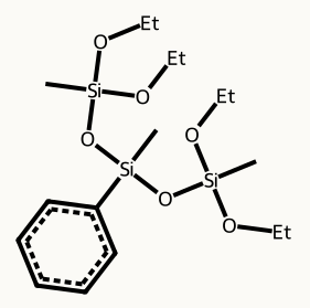 CCO[Si](C)(OCC)O[Si](C)(O[Si](C)(OCC)OCC)c1ccccc1